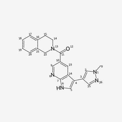 Cn1cc(-c2c[nH]c3ncc(C(=O)N4CCc5ccccc5C4)cc23)cn1